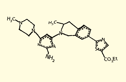 CCOC(=O)c1cnc(-c2ccc3c(c2)CN(c2cc(N4CCN(C)CC4)nc(N)n2)C(C)C3)s1